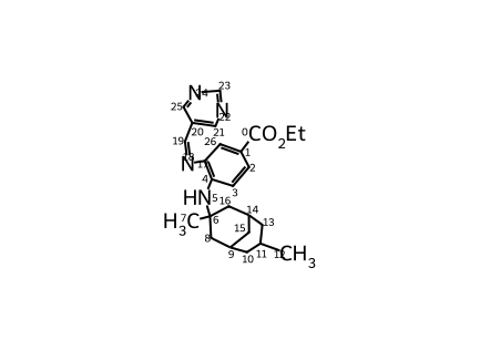 CCOC(=O)c1ccc(NC2(C)CC3CC(C)CC(C3)C2)c(/N=C\c2cncnc2)c1